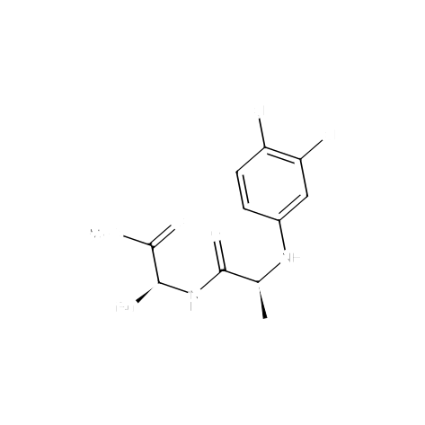 CCC(C)[C@H](NC(=O)[C@H](C)Nc1ccc(Cl)c(Cl)c1)C(=O)OC